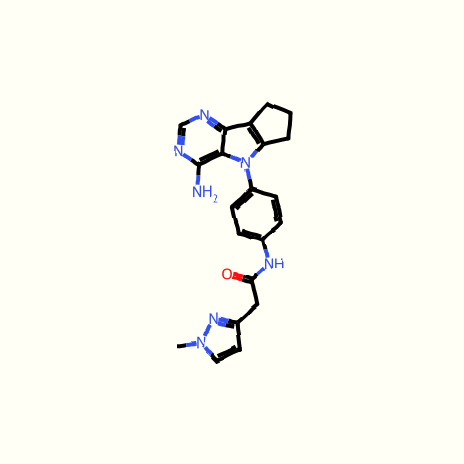 Cn1ccc(CC(=O)Nc2ccc(-n3c4c(c5ncnc(N)c53)CCC4)cc2)n1